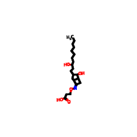 CCCCCCCCC(O)CCC1CC2C(=NOCCC(=O)O)CC2C1O